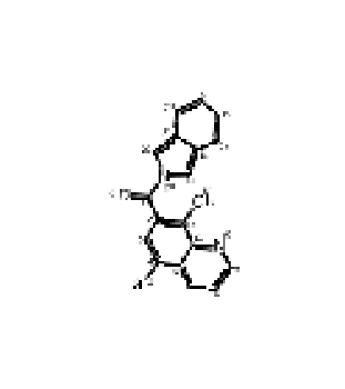 O=C(c1cc(Br)c2cccnc2c1O)n1cc2ccccc2c1